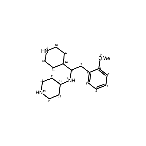 COc1ccccc1CC(NC1CCNCC1)C1CCNCC1